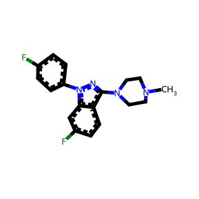 CN1CCN(c2nn(-c3ccc(F)cc3)c3cc(F)ccc23)CC1